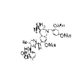 COc1ccc(CN2Cc3cc(OC)c(Nc4ncc(Br)c(Nc5ccccc5P(C)(C)=O)n4)cc3-c3cnn(C)c3C2)c(OC)c1